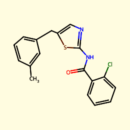 Cc1cccc(Cc2cnc(NC(=O)c3ccccc3Cl)s2)c1